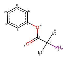 CCC(P)(CC)C(=O)Oc1ccccc1